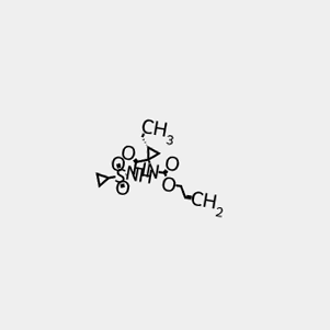 C=CCOC(=O)N[C@]1(C(=O)NS(=O)(=O)C2CC2)C[C@H]1CC